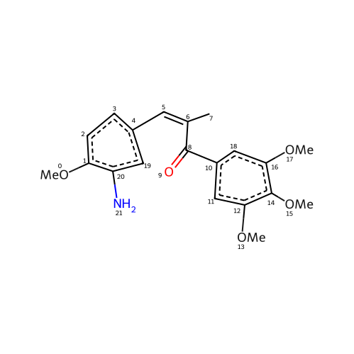 COc1ccc(C=C(C)C(=O)c2cc(OC)c(OC)c(OC)c2)cc1N